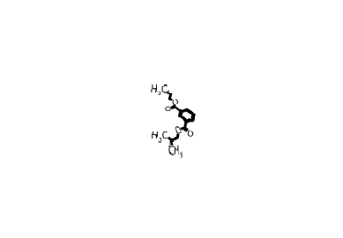 CCCOC(=O)c1cccc(C(=O)OCC(C)C)c1